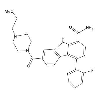 COCCN1CCN(C(=O)c2ccc3c(c2)[nH]c2c(C(N)=O)ccc(-c4ccccc4F)c23)CC1